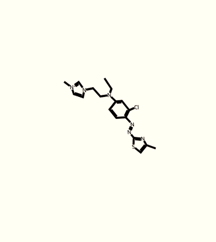 CCN(CCn1cc[n+](C)c1)c1ccc(N=Nc2nc(C)cs2)c(Cl)c1